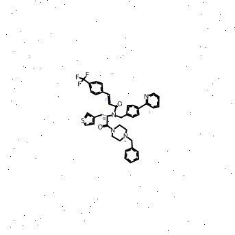 O=C([C@H](Cc1ccsc1)N(Cc1ccc(-c2ccccn2)cc1)C(=O)/C=C/c1ccc(C(F)(F)F)cc1)N1CCN(Cc2ccccc2)CC1